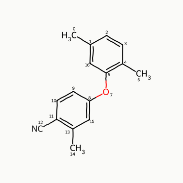 Cc1ccc(C)c(Oc2ccc(C#N)c(C)c2)c1